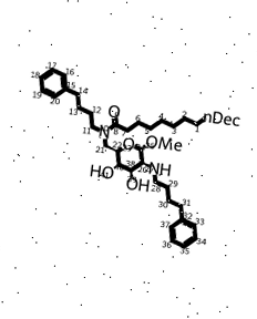 CCCCCCCCCCCCCCCCCC(=O)N(CCCCc1ccccc1)C[C@H]1O[C@H](OC)[C@@H](NCCCCc2ccccc2)[C@@H](O)[C@@H]1O